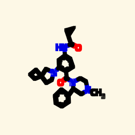 CN1CCN(C(=O)c2ccc(NC(=O)C3CC3)cc2N2CCC3(CCC3)C2)C(c2ccccc2)C1